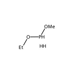 CCOPOC.[HH]